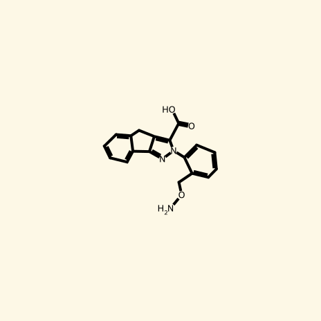 NOCc1ccccc1-n1nc2c(c1C(=O)O)Cc1ccccc1-2